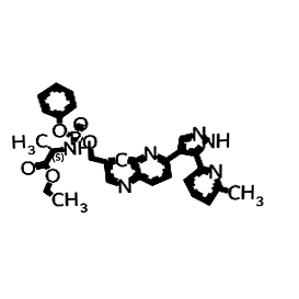 CCOC(=O)[C@H](C)NP(=O)(OCc1cnc2ccc(-c3cn[nH]c3-c3cccc(C)n3)nc2c1)Oc1ccccc1